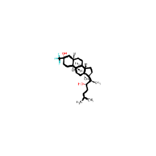 CC(C)CC[C@H](O)[C@H](C)[C@@H]1CC[C@H]2[C@@H]3CC[C@H]4C[C@](O)(C(F)(F)F)CC[C@]4(C)[C@H]3CC[C@]12C